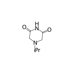 CC(C)N1CC(=O)NC(=O)C1